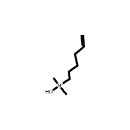 C=CCCCC[N+](C)(C)O